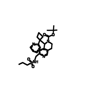 CCCS(=O)(=O)NCc1cc2c(cn1)CCN(C(=O)OC(C)(C)C)C2C1(c2ccccn2)CCC1